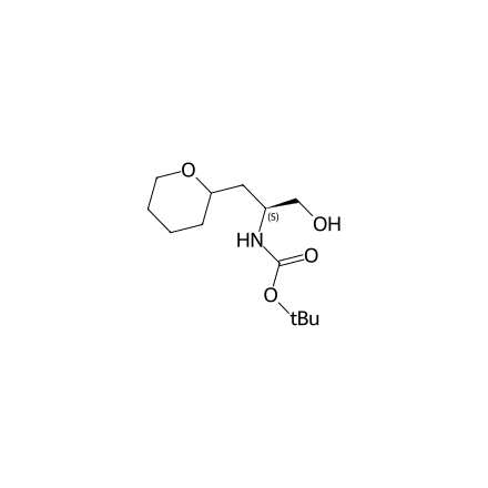 CC(C)(C)OC(=O)N[C@H](CO)CC1CCCCO1